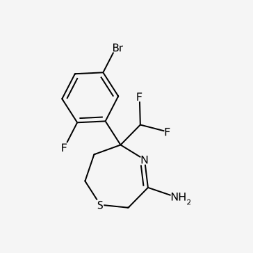 NC1=NC(c2cc(Br)ccc2F)(C(F)F)CCSC1